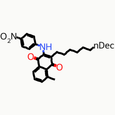 CCCCCCCCCCCCCCCCC1=C(Nc2ccc([N+](=O)[O-])cc2)C(=O)c2cccc(C)c2C1=O